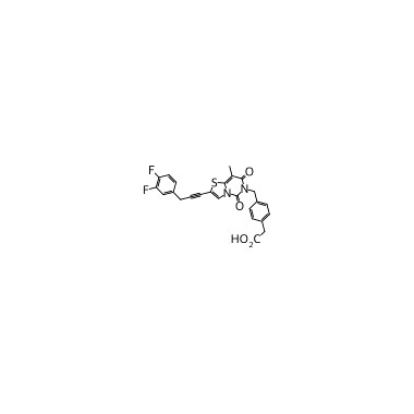 Cc1c(=O)n(Cc2ccc(CC(=O)O)cc2)c(=O)n2cc(C#CCc3ccc(F)c(F)c3)sc12